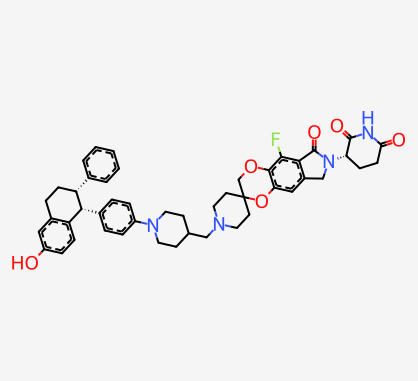 O=C1CC[C@H](N2Cc3cc4c(c(F)c3C2=O)OCC2(CCN(CC3CCN(c5ccc([C@@H]6c7ccc(O)cc7CC[C@@H]6c6ccccc6)cc5)CC3)CC2)O4)C(=O)N1